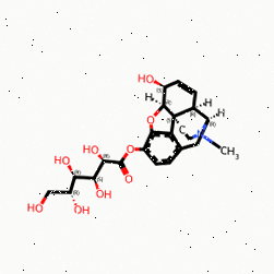 CN1CC[C@]23c4c5ccc(OC(=O)[C@H](O)[C@@H](O)[C@H](O)[C@H](O)CO)c4O[C@H]2[C@@H](O)C=C[C@H]3[C@H]1C5